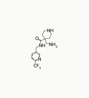 NCC1(C(=O)NCc2ccc(C(F)(F)F)nc2)CCNCC1